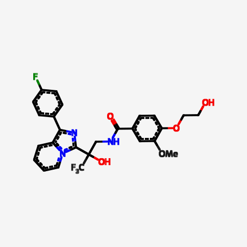 COc1cc(C(=O)NCC(O)(c2nc(-c3ccc(F)cc3)c3ccccn23)C(F)(F)F)ccc1OCCO